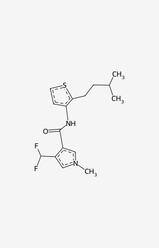 CC(C)CCc1sccc1NC(=O)c1cn(C)cc1C(F)F